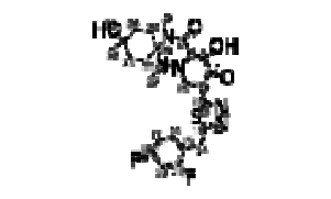 CN1C(=O)c2c(O)c(=O)c(-c3nnc(Cc4ccc(F)cc4F)s3)cn2N(C)C12CCC(C)(O)CC2